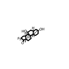 C[C@]12CC[C@@H](O)C[C@@H]1C[C@@H](O)[C@@H]1[C@@H]2CC[C@]2(C)C(=O)[C@H](F)C[C@@H]12